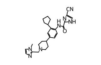 Cn1ccnc1CN1CCC(c2ccc(NC(=O)c3nc(C#N)c[nH]3)c(C3CCCC3)c2)CC1